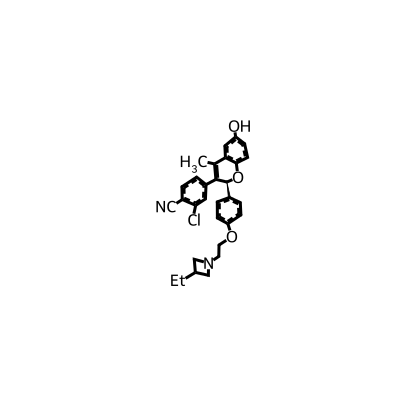 CCC1CN(CCOc2ccc([C@@H]3Oc4ccc(O)cc4C(C)=C3c3ccc(C#N)c(Cl)c3)cc2)C1